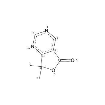 CC1(C)OC(=O)c2cncnc21